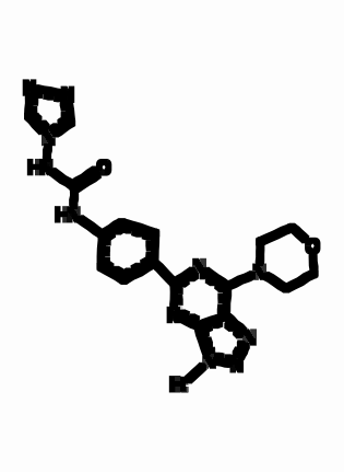 CCn1nnc2c(N3CCOCC3)nc(-c3ccc(NC(=O)Nn4cnnc4)cc3)nc21